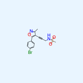 Cc1noc(-c2ccc(Br)cc2)c1C#CCNS(C)(=O)=O